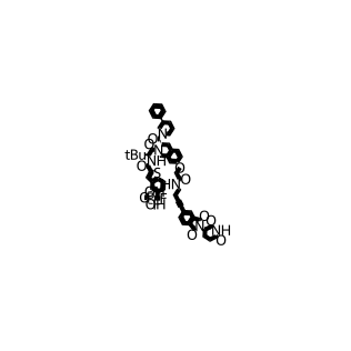 CC(C)(C)[C@H](NC(=O)c1cc2cc(C(F)(F)P(=O)(O)O)ccc2s1)C(=O)N1Cc2cc(OCC(=O)NCCC#Cc3ccc4c(c3)C(=O)N(C3CCC(=O)NC3=O)C4=O)ccc2C[C@H]1C(=O)N1CCC[C@H](c2ccccc2)C1